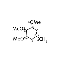 COC1[CH]N(C)CC(OC)C1OC